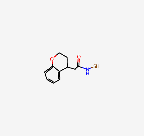 O=C(CC1CCOc2ccccc21)NS